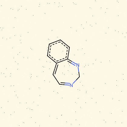 C1=NCN=c2ccccc2=C1